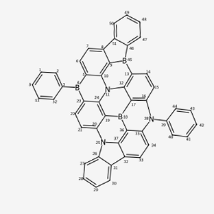 c1ccc(B2c3ccc4c5c3N3c6c(ccc7c6B6c8c(ccc2c83)-n2c3ccccc3c3ccc(c6c32)N7c2ccccc2)B5c2ccccc2-4)cc1